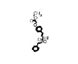 CCOC(=O)COc1ccc(CCNS(=O)(=O)C=Cc2ccccc2)cc1